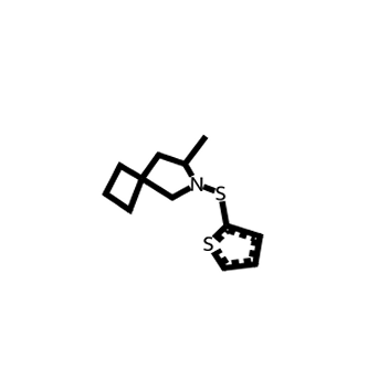 CC1CC2(CCC2)CN1Sc1cccs1